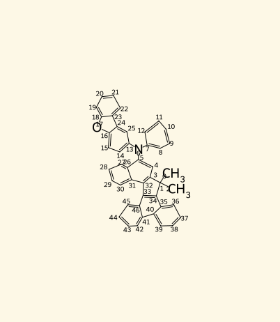 CC1(C)c2cc(N(c3ccccc3)c3ccc4oc5ccccc5c4c3)c3ccccc3c2-c2c1c1ccccc1c1ccccc21